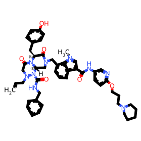 C=CCN1CC(=O)N2[C@@H](Cc3ccc(O)cc3)C(=O)N(Cc3cccc4c(C(=O)Nc5ccc(OCCCN6CCCCC6)nc5)cn(C)c34)C[C@@H]2N1C(=O)NCc1ccccc1